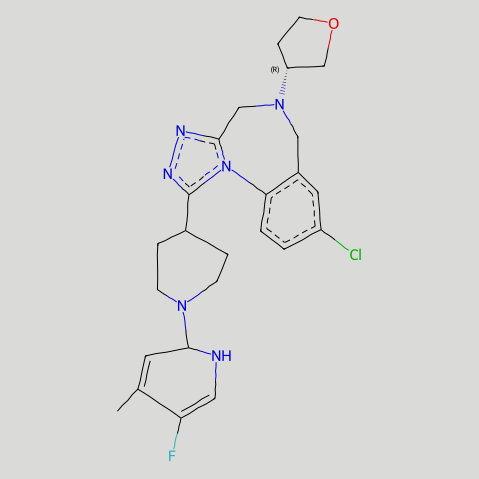 CC1=CC(N2CCC(c3nnc4n3-c3ccc(Cl)cc3CN([C@@H]3CCOC3)C4)CC2)NC=C1F